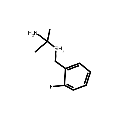 CC(C)(N)[SiH2]Cc1ccccc1F